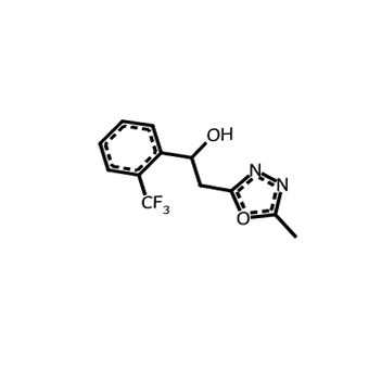 Cc1nnc(CC(O)c2ccccc2C(F)(F)F)o1